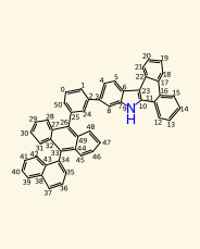 c1cc(-c2ccc3c(c2)[nH]c2c4ccccc4c4ccccc4c32)cc(-c2c3ccccc3c(-c3cccc4ccccc34)c3ccccc23)c1